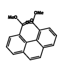 COC(=O)c1cccc2ccc3cccc(C(=O)OC)c3c12